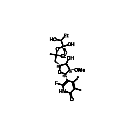 CCC(O)P(=O)(O)OC(C)(CC)C[C@H]1O[C@@H](c2c(F)[nH]c(=O)c(C)c2F)[C@@H](OC)C1O